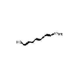 CCCCCC=CC=CCC=CO